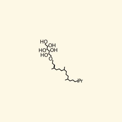 CC(=CCCOC[C@H](O)[C@@H](O)[C@H](O)[C@H](O)CO)CCCC(C)CCCC(C)CCCC(C)C